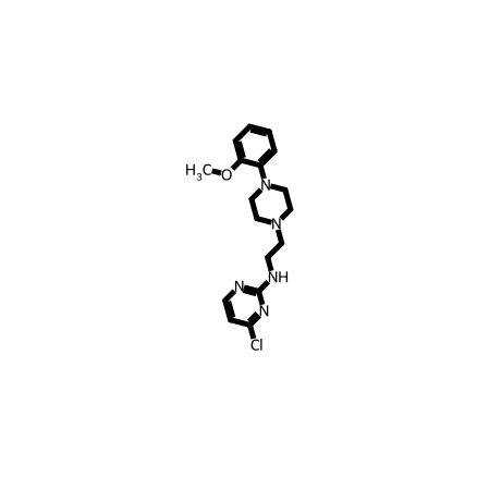 COc1ccccc1N1CCN(CCNc2nccc(Cl)n2)CC1